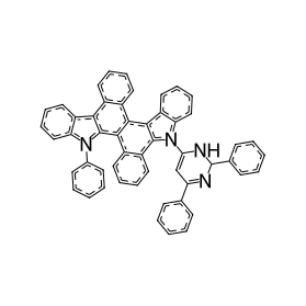 C1=C(n2c3ccccc3c3c4c5ccccc5c5c6ccccc6n(-c6ccccc6)c5c4c4ccccc4c32)NC(c2ccccc2)N=C1c1ccccc1